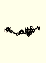 N#Cc1ccc2nc(C(=O)NCc3cccc(OCCCSc4nc[nH]n4)c3)[nH]c(=O)c2c1